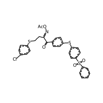 CC(=O)O/N=C(\CCSc1ccc(Cl)cc1)C(=O)c1ccc(Sc2ccc(S(=O)(=O)c3ccccc3)cc2)cc1